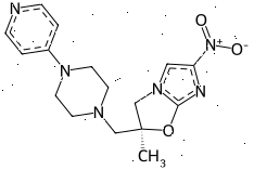 C[C@]1(CN2CCN(c3ccncc3)CC2)Cn2cc([N+](=O)[O-])nc2O1